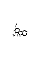 CCc1cn2c(nc3ccccc32)c(NC)n1